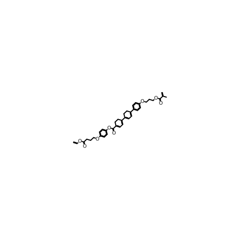 C=COC(=O)CCCOc1ccc(OC(=O)C2=CC=C(C3=CC=C(c4ccc(OCCCOC(=O)C(=C)C)cc4)CC3)CC2)cc1